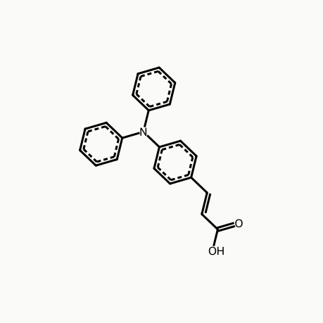 O=C(O)C=Cc1ccc(N(c2ccccc2)c2ccccc2)cc1